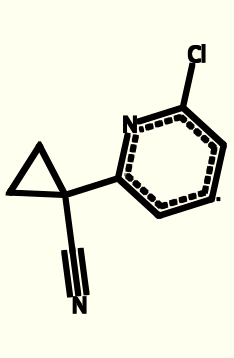 N#CC1(c2c[c]cc(Cl)n2)CC1